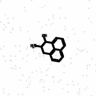 NC1Cc2cccc3cccc(c23)C1O